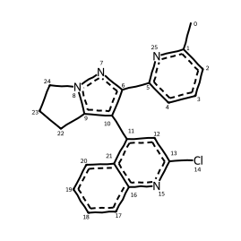 Cc1cccc(-c2nn3c(c2-c2cc(Cl)nc4ccccc24)CCC3)n1